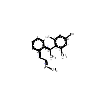 C/N=C/C=c1/cccc/c1=C(/C)c1c(C)cc(F)cc1F